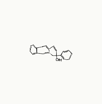 OC1(c2ccccc2)C=Cc2cc3ccccc3cc2C1